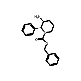 N[C@H]1CCCN(C(=O)OCc2ccccc2)[C@H]1c1ccccc1